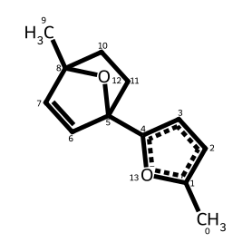 Cc1ccc(C23C=CC(C)(CC2)O3)o1